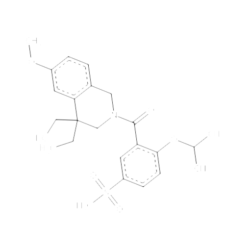 CCC1(CC)CN(C(=O)c2cc(S(C)(=O)=O)ccc2OC(C)C)Cc2ccc(OC)cc21